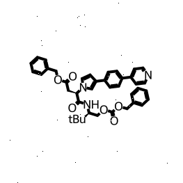 CC(C)(C)[C@H](COC(=O)OCc1ccccc1)NC(=O)[C@@H](CC(=O)OCc1ccccc1)n1ccc(-c2ccc(-c3ccncc3)cc2)c1